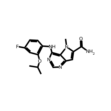 CC(C)Oc1cc(F)ccc1Nc1ncnc2cc(C(N)=O)n(C)c12